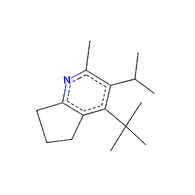 Cc1nc2c(c(C(C)(C)C)c1C(C)C)CCC2